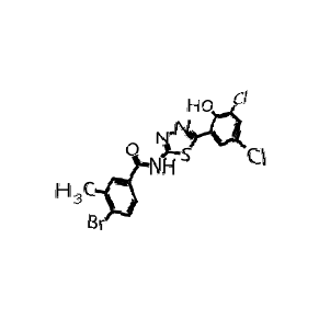 Cc1cc(C(=O)Nc2nnc(-c3cc(Cl)cc(Cl)c3O)s2)ccc1Br